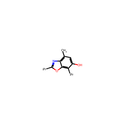 Cc1cc(O)c(C(C)C)c2oc(C(C)C)nc12